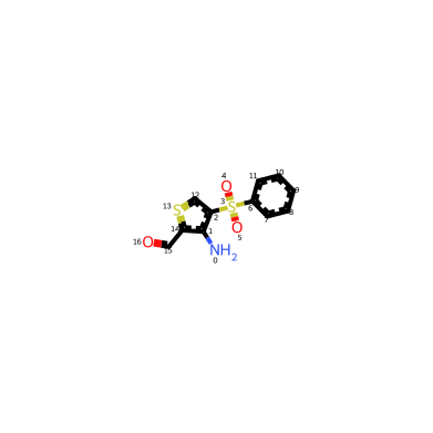 Nc1c(S(=O)(=O)c2ccccc2)csc1C=O